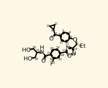 CC[C@@H](Oc1ccc(C(=O)C2CC2)cc1)c1noc(-c2ccc(C(=O)NC(CO)CO)c(F)c2)n1